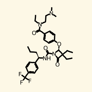 CCC[C@@H](NC(=O)N1C(=O)C(CC)(CC)[C@@H]1Oc1ccc(C(=O)N(CC)CCN(C)C)cc1)c1ccc(C(F)(F)F)cc1